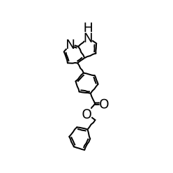 O=C(OCc1ccccc1)c1ccc(-c2ccnc3[nH]ccc23)cc1